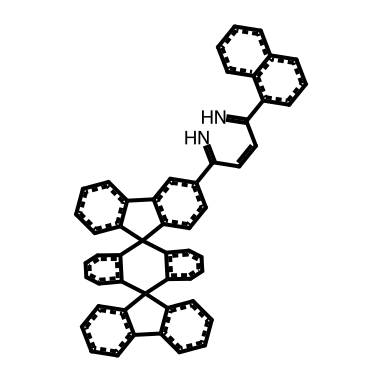 N=C(/C=C\C(=N)c1cccc2ccccc12)c1ccc2c(c1)-c1ccccc1C21c2ccccc2C2(c3ccccc3-c3ccccc32)c2ccccc21